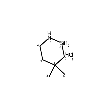 CC1(C)CCN[SiH2]C1.Cl